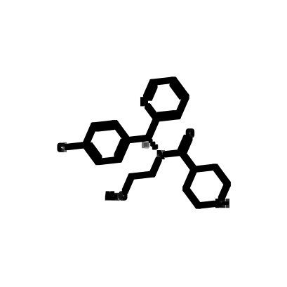 COCCN(C(=O)C1CCNCC1)[C@H](c1ccc(Cl)cc1)c1ccccn1